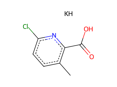 Cc1ccc(Cl)nc1C(=O)O.[KH]